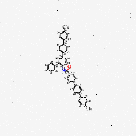 N#Cc1ccc(-c2ccc(-c3ccc(-c4nc5c(-c6ccccc6)cc(-c6ccc(-c7ccc(C#N)cc7)cc6)cc5o4)cc3)cc2)cc1